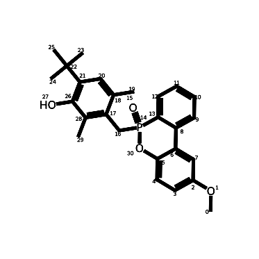 COc1ccc2c(c1)-c1ccccc1P(=O)(Cc1c(C)cc(C(C)(C)C)c(O)c1C)O2